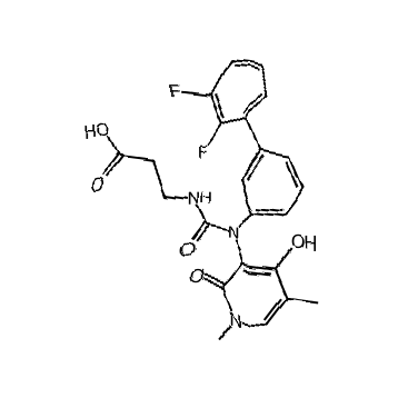 Cc1cn(C)c(=O)c(N(C(=O)NCCC(=O)O)c2cccc(-c3cccc(F)c3F)c2)c1O